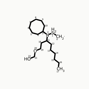 [CH2][SiH2]N(C1CCCCCCC1)C(CCCCCC)CCOCO